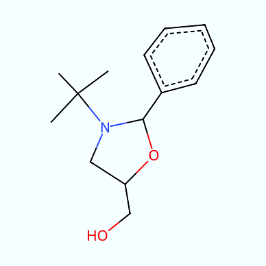 CC(C)(C)N1CC(CO)OC1c1ccccc1